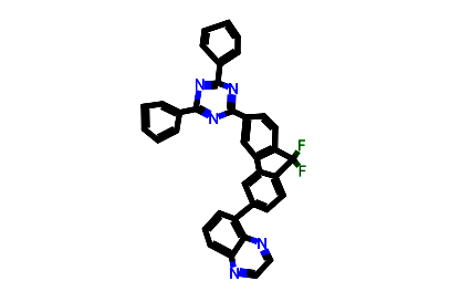 FC1(F)c2ccc(-c3nc(-c4ccccc4)nc(-c4ccccc4)n3)cc2-c2cc(-c3cccc4nccnc34)ccc21